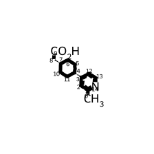 Cc1cc([C@H]2CC[C@@H](CC(=O)O)CC2)ccn1